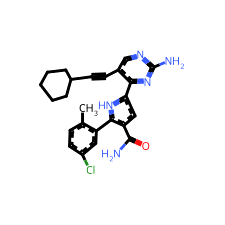 Cc1ccc(Cl)cc1-c1[nH]c(-c2nc(N)ncc2C#CC2CCCCC2)cc1C(N)=O